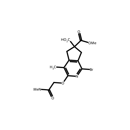 CNC(=O)COc1nc(Br)c2c(c1C)CC(C(=O)O)(C(=O)OC)C2